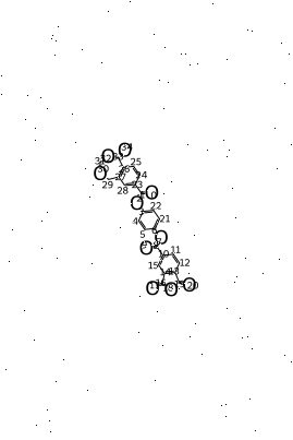 O=C(Oc1ccc(OC(=O)c2ccc3c(c2)C(=O)OC3=O)cc1)c1ccc2c(c1)COCOC2=O